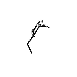 CCCCCCCC/C=C\CCCCCCCCOC(CCCCCCC/C=C\CCCCCCCC)O[Si](C)(C)OCCCCCCN(CCO)CCO